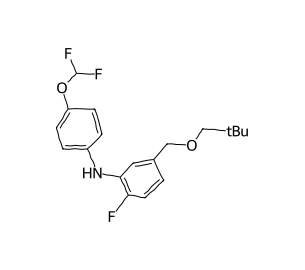 CC(C)(C)COCc1ccc(F)c(Nc2ccc(OC(F)F)cc2)c1